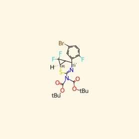 CC(C)(C)OC(=O)N(C(=O)OC(C)(C)C)C1=N[C@](C)(c2cc(Br)ccc2F)C2[C@@H](S1)C2(F)F